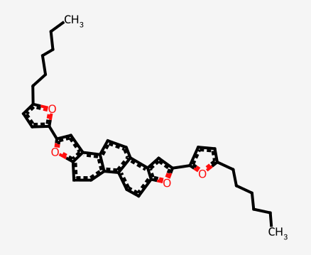 CCCCCCc1ccc(-c2cc3c(ccc4c3ccc3c5cc(-c6ccc(CCCCCC)o6)oc5ccc34)o2)o1